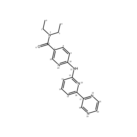 CCN(CC)C(=O)c1ccc(Nc2cccc(-c3cnccn3)n2)nc1